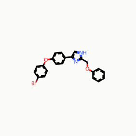 Brc1ccc(Oc2ccc(-c3c[nH]c(COc4ccccc4)n3)cc2)cc1